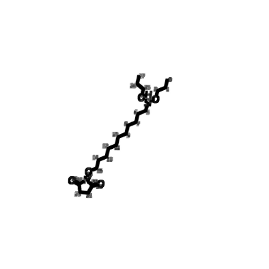 CCCO[SiH](CCCCCCCCCCCON1C(=O)CCC1=O)OCCC